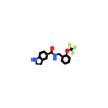 O=C(NCc1ccccc1OC(F)(F)F)c1ccc2c(c1)CCN2